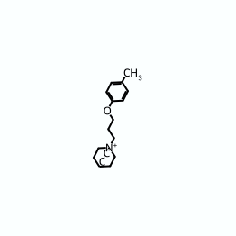 Cc1ccc(OCCC[N+]23CCC(CC2)CC3)cc1